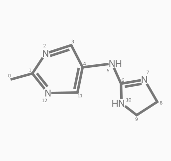 Cc1ncc(NC2=NCCN2)cn1